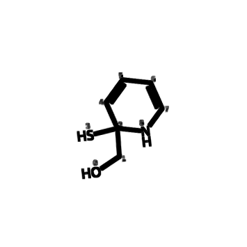 OCC1(S)C=CC=CN1